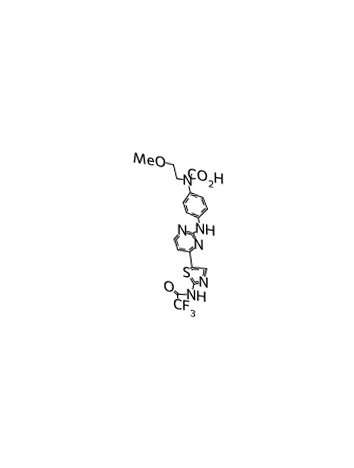 COCCN(C(=O)O)c1ccc(Nc2nccc(-c3cnc(NC(=O)C(F)(F)F)s3)n2)cc1